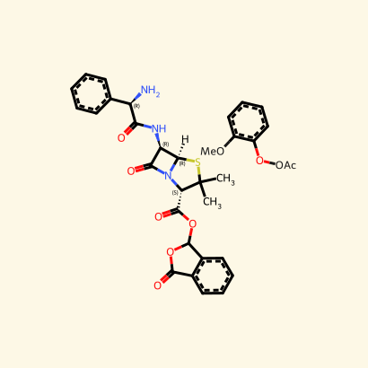 CC1(C)S[C@@H]2[C@H](NC(=O)[C@H](N)c3ccccc3)C(=O)N2[C@H]1C(=O)OC1OC(=O)c2ccccc21.COc1ccccc1OOC(C)=O